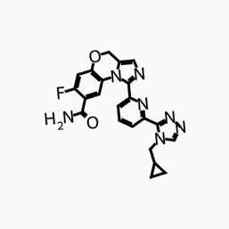 NC(=O)c1cc2c(cc1F)OCc1cnc(-c3cccc(-c4nncn4CC4CC4)n3)n1-2